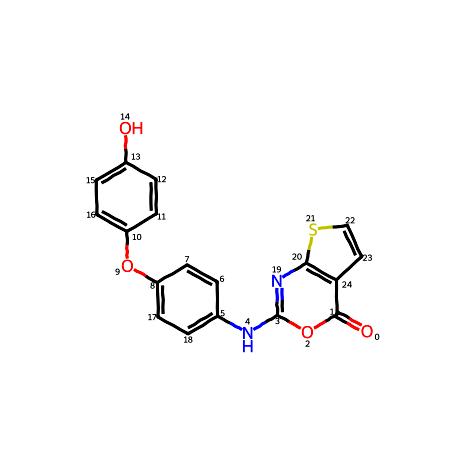 O=c1oc(Nc2ccc(Oc3ccc(O)cc3)cc2)nc2sccc12